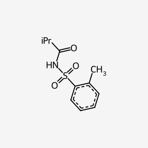 Cc1ccccc1S(=O)(=O)NC(=O)C(C)C